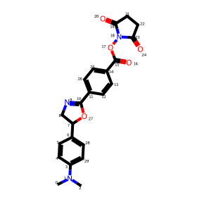 CN(C)c1ccc(C2CN=C(c3ccc(C(=O)ON4C(=O)CCC4=O)cc3)O2)cc1